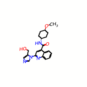 CO[C@H]1CC[C@H](NC(=O)c2cc(-n3cncc3CO)nc3ccccc23)CC1